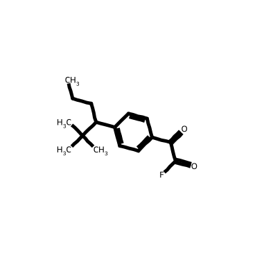 CCCC(c1ccc(C(=O)C(=O)F)cc1)C(C)(C)C